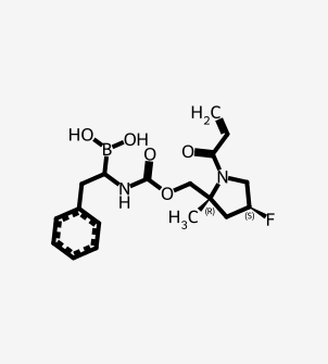 C=CC(=O)N1C[C@@H](F)C[C@]1(C)COC(=O)NC(Cc1ccccc1)B(O)O